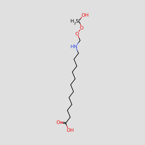 O=C(O)CCCCCCCCCCCNCOO[SiH2]O